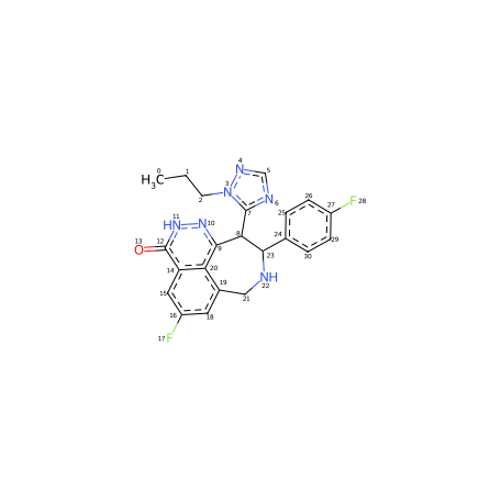 CCCn1ncnc1C1c2n[nH]c(=O)c3cc(F)cc(c23)CNC1c1ccc(F)cc1